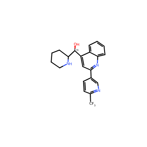 O[C@@H](c1cc(-c2ccc(C(F)(F)F)nc2)nc2ccccc12)C1CCCCN1